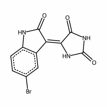 O=C1NC(=O)C(=C2C(=O)Nc3ccc(Br)cc32)N1